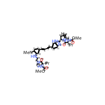 CNc1ccc(C#CC#Cc2ccc3nc([C@@H]4C[C@H]5C[C@H]5N4C(=O)[C@@H](NC(=O)OC)C(C)C)[nH]c3c2)cc1NCCN(C)C(=O)[C@@H](NC(=O)OC)C(C)C